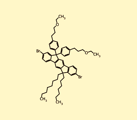 CCCCCCCCC1(CCCCCCC)c2cc(Br)ccc2-c2cc3c(cc21)-c1ccc(Br)cc1C3(c1ccc(CCCOCC)cc1)c1ccc(CCCOCC)cc1